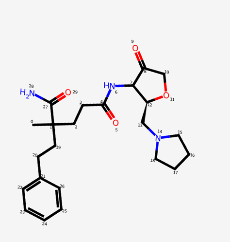 CC(C[CH]C(=O)NC1C(=O)CO[C@H]1CN1CCCC1)(CCc1ccccc1)C(N)=O